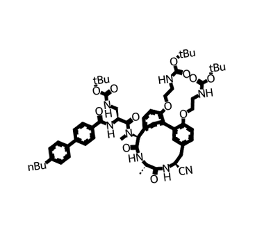 CCCCc1ccc(-c2ccc(C(=O)N[C@@H](CNC(=O)OC(C)(C)C)C(=O)N(C)[C@@H]3C(=O)N[C@@H](C)C(=O)N[C@H](C#N)Cc4ccc(OCCNC(=O)OC(C)(C)C)c(c4)-c4cc3ccc4OCCNC(=O)OC(C)(C)C)cc2)cc1